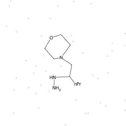 CCCC(CN1CCOCC1)NN